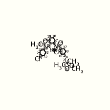 COC(=O)C(C)(C)CCc1ccc(C(=O)N2c3ccccc3[C@H](N(C(C)=O)c3ccc(Cl)cc3)C[C@@H]2C)cc1